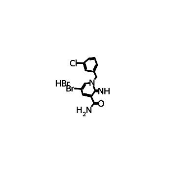 Br.N=c1c(C(N)=O)cc(Br)cn1Cc1cccc(Cl)c1